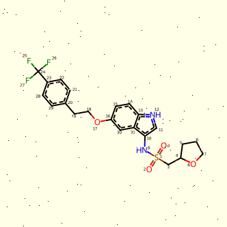 O=S(=O)(CC1CCCO1)Nc1c[nH]c2ccc(OCCc3ccc(C(F)(F)F)cc3)cc12